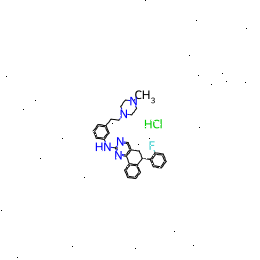 CN1CCN(CCc2cccc(Nc3ncc4c(n3)-c3ccccc3[C@H](c3ccccc3F)C4)c2)CC1.Cl